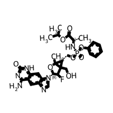 CC(C)OC(=O)[C@H](C)NP(=O)(OC[C@H]1C2(C)O[C@@H](n3cnc4cc5c(N)nc(=O)[nH]c5cc43)C(F)C12CO)Oc1ccccc1